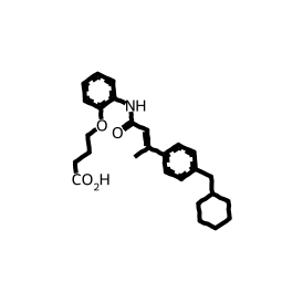 C/C(=C\C(=O)Nc1ccccc1OCCCC(=O)O)c1ccc(CC2CCCCC2)cc1